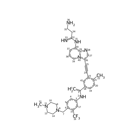 C=C(Nc1ccc(CN2CCN(C)CC2)c(C(F)(F)F)c1)c1ccc(C)c(C#Cc2cnc3c(NC(=N)CCN)cccn23)c1